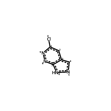 Clc1cc2cn[nH]c2nn1